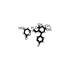 CC1(O)CC(c2ccc(F)cc2)=C(C=C[C@H]2C[C@H](O)CC(=O)O2)C(C)(C)C1